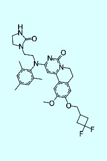 COc1cc2c(cc1OCC1CC(F)(F)C1)CCn1c-2cc(N(CCN2CCNC2=O)c2c(C)cc(C)cc2C)nc1=O